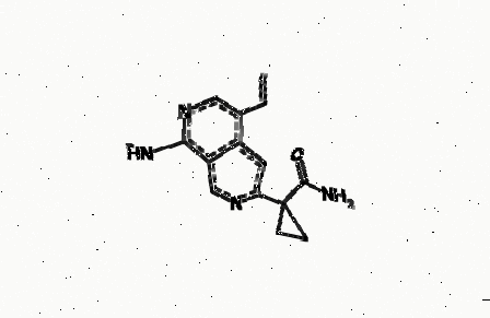 C=Cc1cnc(NC)c2cnc(C3(C(N)=O)CC3)cc12